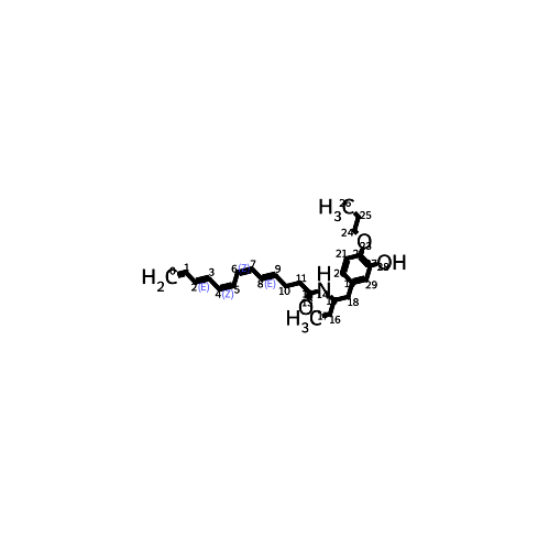 C=C/C=C/C=C\C=C/C=C/CCC(=O)NC(CC)Cc1ccc(OCCC)c(O)c1